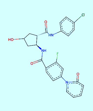 O=C(N[C@H]1CC(O)C[C@@H]1C(=O)Nc1ccc(Cl)cc1)c1ccc(-n2ccccc2=O)cc1F